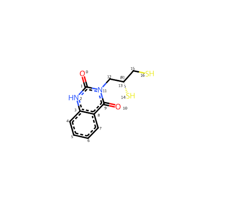 O=c1[nH]c2ccccc2c(=O)n1C[C@@H](S)CS